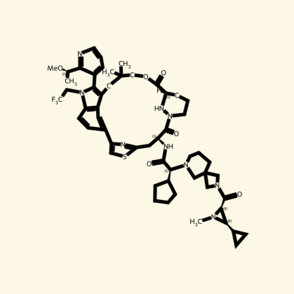 CO[C@@H](C)c1ncccc1-c1c2c3cc(ccc3n1CC(F)(F)F)-c1csc(n1)C[C@H](NC(=O)[C@H](C1CCCC1)N1CCCC3(CN(C(=O)[C@H]4[C@@H](C5CC5)N4C)C3)C1)C(=O)N1CCC[C@H](N1)C(=O)OCC(C)(C)C2